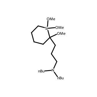 CCCCN(CCCC)CCCC1(OC)CCCC[Si]1(OC)OC